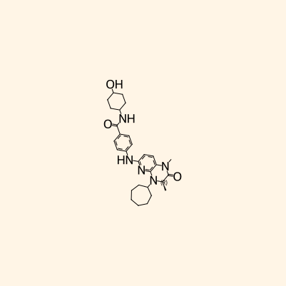 C[C@@H]1C(=O)N(C)c2ccc(Nc3ccc(C(=O)NC4CCC(O)CC4)cc3)nc2N1C1CCCCCC1